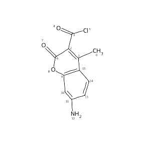 Cc1c(C(=O)Cl)c(=O)oc2cc(N)ccc12